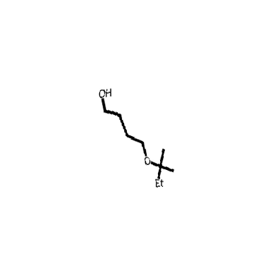 CCC(C)(C)OCCCCO